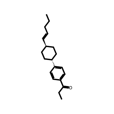 CCCC=C[C@H]1CC[C@H](c2ccc(C(=O)CC)cc2)CC1